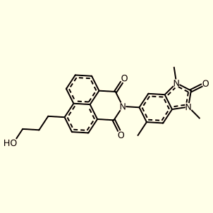 Cc1cc2c(cc1N1C(=O)c3cccc4c(CCCO)ccc(c34)C1=O)n(C)c(=O)n2C